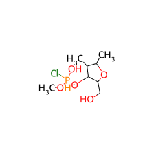 CO[PH](O)(Cl)OC1C(CO)OC(C)C1C